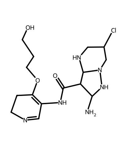 NC1NN2CC(Cl)CNC2C1C(=O)NC1=C(OCCCO)CCN=C1